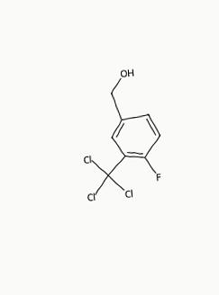 OCc1ccc(F)c(C(Cl)(Cl)Cl)c1